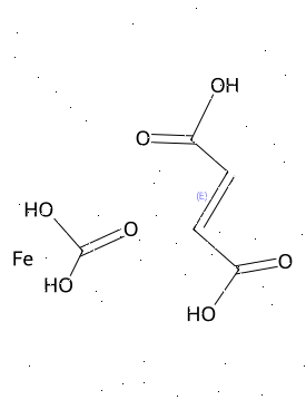 O=C(O)/C=C/C(=O)O.O=C(O)O.[Fe]